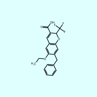 CCOc1cc2c(cc1Cc1ccccc1)OC(C(F)(F)F)C(C(=O)O)=C2